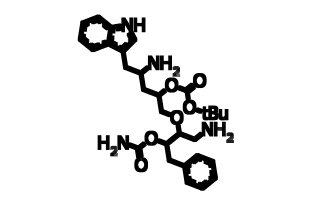 CC(C)(C)OC(=O)OC(COC(CN)C(Cc1ccccc1)OC(N)=O)CC(N)Cc1c[nH]c2ccccc12